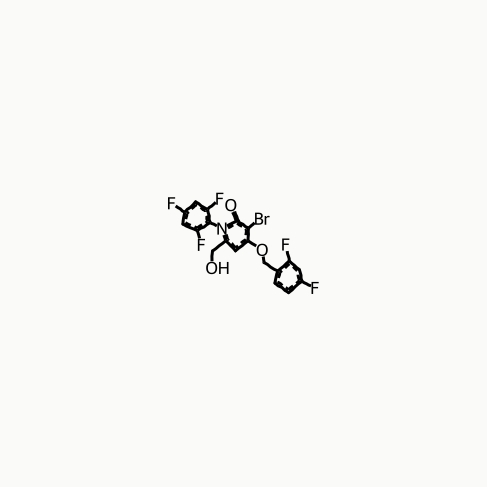 O=c1c(Br)c(OCc2ccc(F)cc2F)cc(CO)n1-c1c(F)cc(F)cc1F